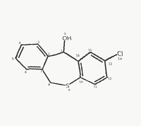 OC1c2ccccc2CSc2ccc(Cl)cc21